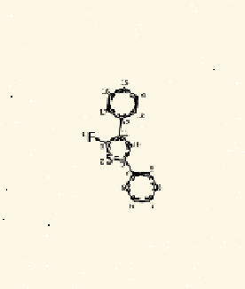 Fc1sc(-c2ccccc2)cc1-c1ccccc1